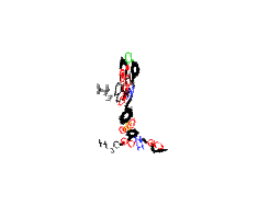 CCOC(=O)c1cc(S(=O)(=O)c2ccc(CCN(C[C@H](OC3CCCCO3)c3cccc(Cl)c3)C(=O)OC(C)(C)C)cc2)ccc1NCCOC1CCCCO1